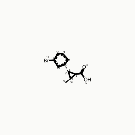 C[C@@H]1C(C(=O)O)[C@H]1c1cccc(Br)c1